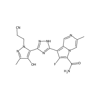 Cc1cn2c(C(N)=O)c(F)c(-c3nc(-c4c(O)c(C)nn4CCC#N)n[nH]3)c2cn1